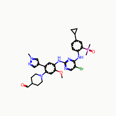 COc1cc(N2CCC(C=O)CC2)c(-c2cnn(C)c2)cc1Nc1ncc(Br)c(Nc2ccc(C3CC3)cc2P(C)(C)=O)n1